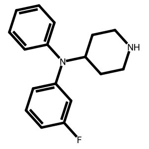 Fc1cccc(N(c2ccccc2)C2CCNCC2)c1